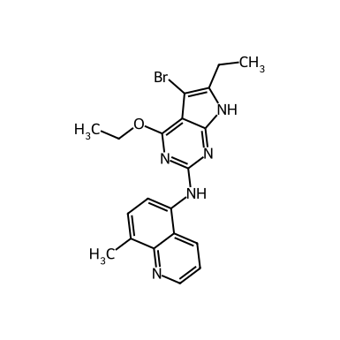 CCOc1nc(Nc2ccc(C)c3ncccc23)nc2[nH]c(CC)c(Br)c12